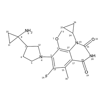 COc1c(N2CCC(C3(N)CC3)C2)c(F)c(C)c2c(=O)[nH]c(=O)n(C3CC3)c12